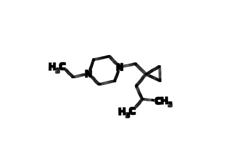 CCN1CCN(CC2(CC(C)C)CC2)CC1